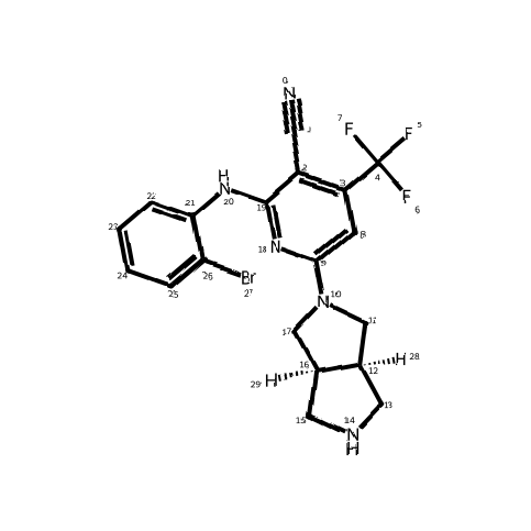 N#Cc1c(C(F)(F)F)cc(N2C[C@H]3CNC[C@H]3C2)nc1Nc1ccccc1Br